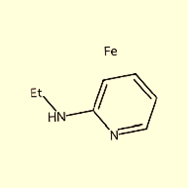 CCNc1ccccn1.[Fe]